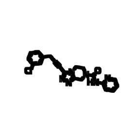 O=C(Nc1ccccn1)N1CCn2c(C#CCc3cccc(Cl)c3)nnc2C1